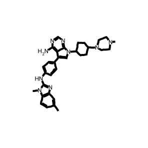 Cc1ccc2c(c1)nc(Nc1ccc(-c3cn(C4CCC(N5CCN(C)CC5)CC4)c4ncnc(N)c34)cc1)n2C